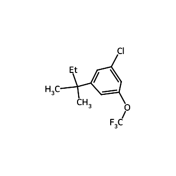 CCC(C)(C)c1cc(Cl)cc(OC(F)(F)F)c1